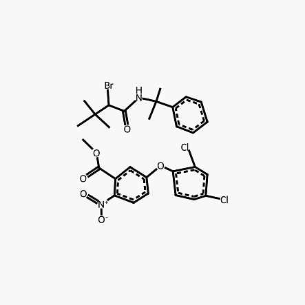 CC(C)(NC(=O)C(Br)C(C)(C)C)c1ccccc1.COC(=O)c1cc(Oc2ccc(Cl)cc2Cl)ccc1[N+](=O)[O-]